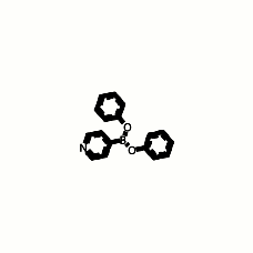 c1ccc(OB(Oc2ccccc2)c2ccncc2)cc1